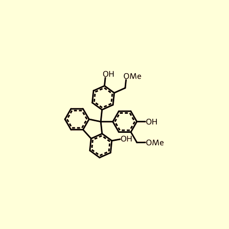 COCc1cc(C2(c3ccc(O)c(COC)c3)c3ccccc3-c3cccc(O)c32)ccc1O